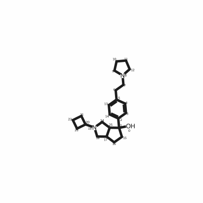 OC1(c2ccc(CCN3CCCC3)cc2)CCC2CN(C3CCC3)CC21